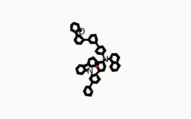 c1ccc(-c2ccc(-c3ccc(N(c4ccc(-c5cccc(-c6cccc7c6oc6ccccc67)c5)cc4)c4cccc5ccccc45)cc3)c(-n3c4ccccc4c4ccccc43)c2)cc1